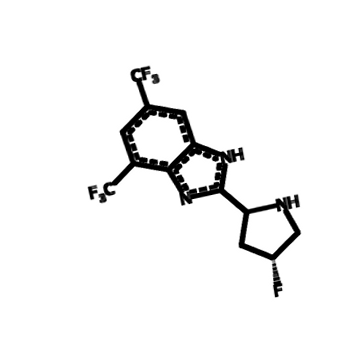 F[C@H]1CNC(c2nc3c(C(F)(F)F)cc(C(F)(F)F)cc3[nH]2)C1